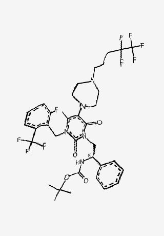 Cc1c(N2CCN(CCCC(F)(F)C(F)(F)F)CC2)c(=O)n(C[C@H](NC(=O)OC(C)(C)C)c2ccccc2)c(=O)n1Cc1c(F)cccc1C(F)(F)F